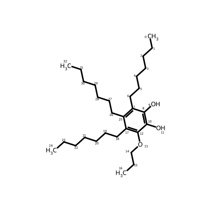 CCCCCCCc1c(O)c(O)c(OCCC)c(CCCCCCC)c1CCCCCCC